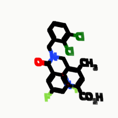 Cc1cc(C(=O)O)ncc1CN(Cc1cccc(Cl)c1Cl)C(=O)c1cc(F)cc(F)c1